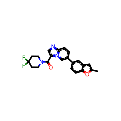 Cc1cc2cc(-c3ccc4ncc(C(=O)N5CCC(F)(F)CC5)n4c3)ccc2o1